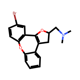 CN(C)CC1CC2=C(O1)c1cc(Br)ccc1Oc1ccccc12